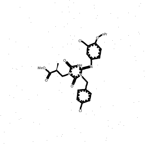 CCCOc1ccc(/N=c2\[nH]c(=O)n(C[C@H](C)C(=O)OC)c(=O)n2Cc2ccc(Cl)cc2)cc1Cl